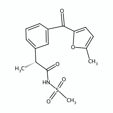 Cc1ccc(C(=O)c2cccc([C@@H](C)C(=O)NS(C)(=O)=O)c2)o1